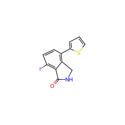 O=C1NCc2c(-c3cccs3)ccc(I)c21